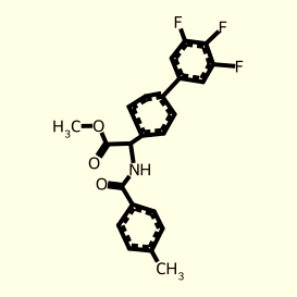 COC(=O)C(NC(=O)c1ccc(C)cc1)c1ccc(-c2cc(F)c(F)c(F)c2)cc1